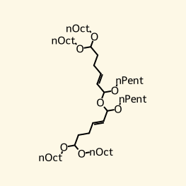 CCCCCCCCOC(CCC=CC(OCCCCC)OC(C=CCCC(OCCCCCCCC)OCCCCCCCC)OCCCCC)OCCCCCCCC